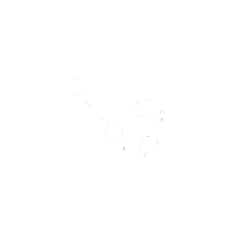 COc1cc(N2CCN(C(=O)CN)CC2)ccc1Nc1ncc(Cl)c(-c2cnc3ccccn23)n1